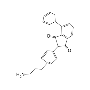 NCCCc1ccc(C2C(=O)c3cccc(-c4ccccc4)c3C2=O)cc1